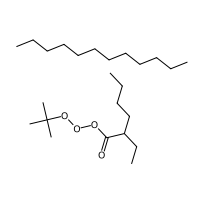 CCCCC(CC)C(=O)OOOC(C)(C)C.CCCCCCCCCCCC